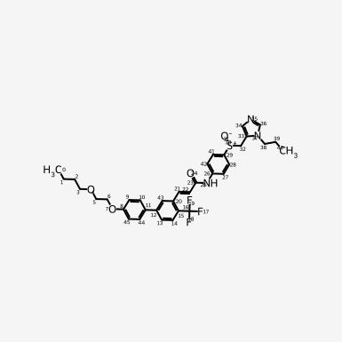 CCCCOCCOc1ccc(-c2ccc(C(F)(F)F)c(/C=C/C(=O)Nc3ccc([S@+]([O-])Cc4cncn4CCC)cc3)c2)cc1